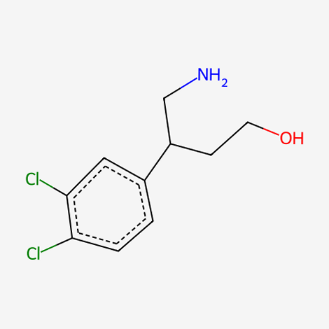 NCC(CCO)c1ccc(Cl)c(Cl)c1